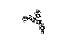 O=C(CN1CC(c2cccc(C(F)(F)F)c2)N(c2ccc(Oc3ccc(Cl)cc3)cc2)C1=O)N1CCOCC1